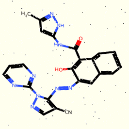 Cc1cc(NC(=O)c2c(O)c(/N=N/c3c(C#N)cnn3-c3ncccn3)cc3ccccc23)[nH]n1